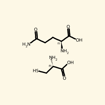 NC(=O)CC[C@H](N)C(=O)O.N[C@@H](CS)C(=O)O